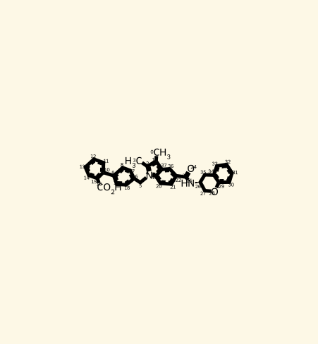 Cc1c(C)n(Cc2ccc(-c3ccccc3C(=O)O)cc2)c2ccc(C(=O)N[C@H]3COc4ccccc4C3)cc12